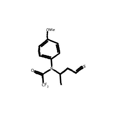 COc1ccc(N(C(=O)C(F)(F)F)C(C)CC=S)cc1